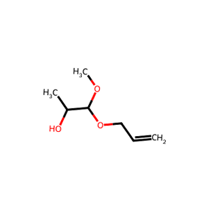 C=CCOC(OC)C(C)O